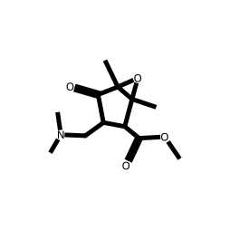 COC(=O)C1C(CN(C)C)C(=O)C2(C)OC12C